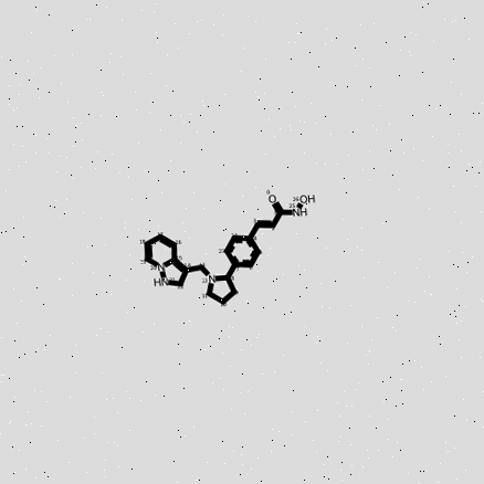 O=C(/C=C/c1ccc(C2CCCN2CC2=C3C=CC=CN3NC2)cc1)NO